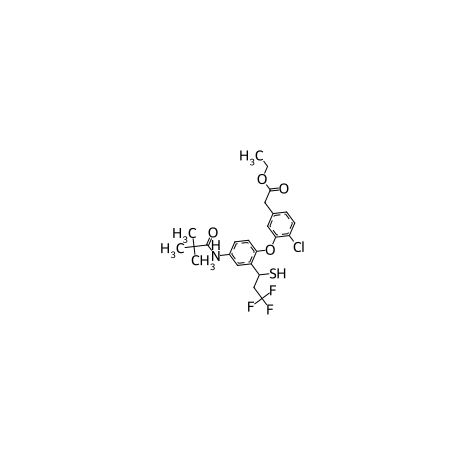 CCOC(=O)Cc1ccc(Cl)c(Oc2ccc(NC(=O)C(C)(C)C)cc2C(S)CC(F)(F)F)c1